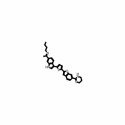 CCCC/N=C(\C)c1ccc2c(-c3ccc(-c4cc5ccc(C6=NCCCN6)cc5o4)s3)c[nH]c2c1